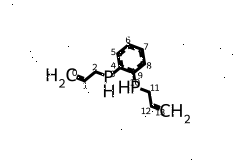 C=CCPc1ccccc1PCC=C